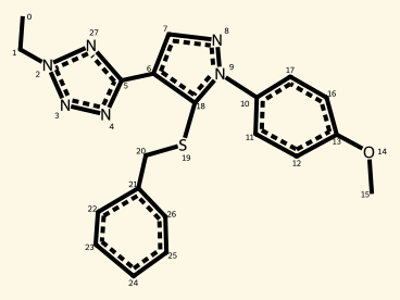 CCn1nnc(-c2cnn(-c3ccc(OC)cc3)c2SCc2ccccc2)n1